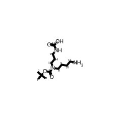 CC(C)(C)OC(=O)N(CCCCN)CCCNC(=O)O